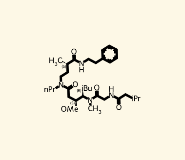 CCCN(CC[C@H](C)C(=O)NCCc1ccccc1)C(=O)C[C@H](OC)C([C@H](C)CC)N(C)C(=O)CNC(=O)CC(C)C